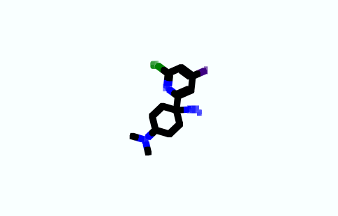 CN(C)C1CCC(N)(c2cc(I)cc(Cl)n2)CC1